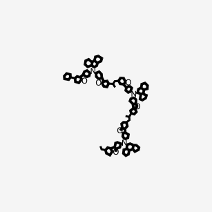 CCc1ccc2oc3cc(N(c4ccc5c(c4)oc4ccc(CC(C)c6ccc7oc8cc(N(c9ccc%10c(c9)oc9ccc(CC(C)c%11ccc%12oc%13cc(N(c%14ccc%15c(c%14)oc%14ccc(-c%16ccccc%16)cc%14%15)c%14cc%15ccccc%15c%15ccccc%14%15)ccc%13c%12c%11)cc9%10)c9cc%10ccccc%10c%10ccccc9%10)ccc8c7c6)cc45)c4cc5ccccc5c5ccccc45)ccc3c2c1